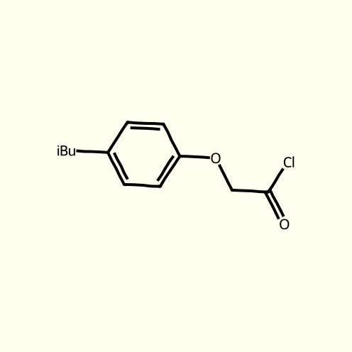 CCC(C)c1ccc(OCC(=O)Cl)cc1